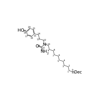 CCCCCCCCCCCCCCCCCCCCN(CCCc1ccc(O)cc1)C(N)=O